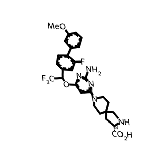 COc1cccc(-c2ccc(C(Oc3cc(N4CCC5(CC4)CN[C@H](C(=O)O)C5)nc(N)n3)C(F)(F)F)cc2F)c1